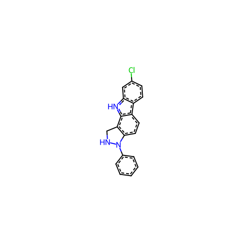 Clc1ccc2c(c1)[nH]c1c3c(ccc12)N(c1ccccc1)NC3